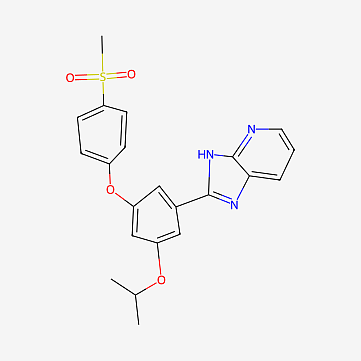 CC(C)Oc1cc(Oc2ccc(S(C)(=O)=O)cc2)cc(-c2nc3cccnc3[nH]2)c1